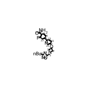 CCCCc1noc(CN2CC(Oc3ccc(-c4ccc(C(N)=O)c(F)c4)nc3)C2)n1